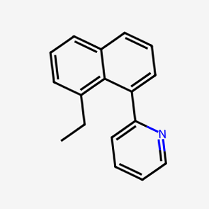 CCc1cccc2cccc(-c3ccccn3)c12